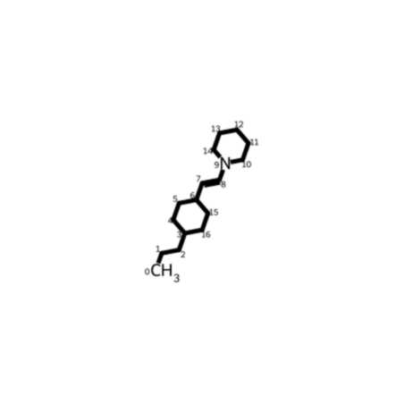 CCCC1CCC(C=CN2CCCCC2)CC1